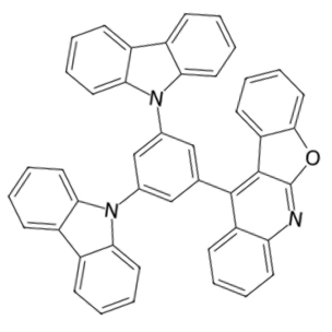 c1ccc2c(-c3cc(-n4c5ccccc5c5ccccc54)cc(-n4c5ccccc5c5ccccc54)c3)c3c(nc2c1)oc1ccccc13